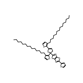 CCCCCCCCCCCCCCc1ccsc1C1=CCC(c2nc3sc(-c4cccs4)nc3s2)(c2sccc2CCCCCCCCCCCCCC)S1